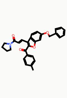 Cc1ccc(C(=O)c2oc3cc(OCc4ccccc4)ccc3c2C=CC(=O)N2CCCC2)cc1